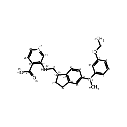 CCOc1cccc(N(C)c2ccc3c(c2)CC[C@H]3CNc2cnccc2C(=O)O)c1